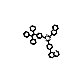 c1ccc(C(=C(c2ccccc2)c2ccc(-c3nc(-c4ccc(-c5cccc6cccnc56)cc4)nc(-c4ccc5ccccc5c4)n3)cc2)c2ccccc2)cc1